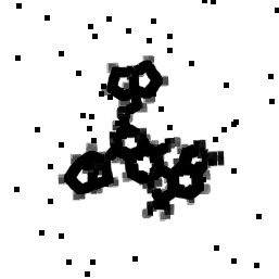 Fc1c(-c2c(C(F)(F)F)ccc3[nH]ncc23)ncc2c(N3CC4CCC(C3)N4)nc(OCC34CCCN3CCC4)nc12